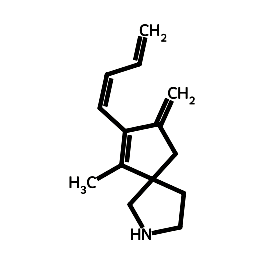 C=C/C=C\C1=C(C)C2(CCNC2)CC1=C